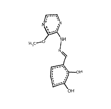 COc1nccnc1N/N=C/c1cccc(O)c1O